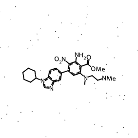 CNCCN(C)c1cc(-c2ccc3c(c2)ncn3C2CCCCC2)c([N+](=O)[O-])c(N)c1C(=O)OC